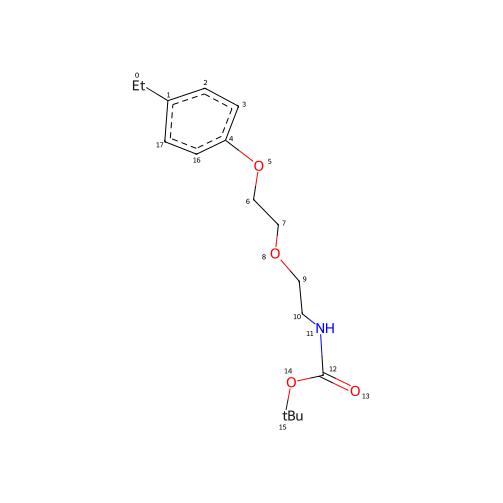 CCc1ccc(OCCOCCNC(=O)OC(C)(C)C)cc1